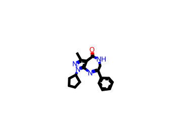 Cc1nn(C2CCCC2)c2c1C(=O)NCC(c1ccccc1)=N2